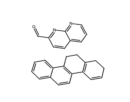 C1=CC2=C(CC1)CCc1c2ccc2ccccc12.O=Cc1ccc2cccnc2n1